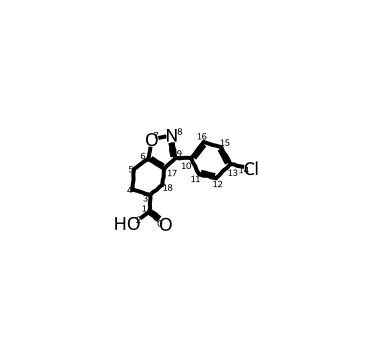 O=C(O)C1CCc2onc(-c3ccc(Cl)cc3)c2C1